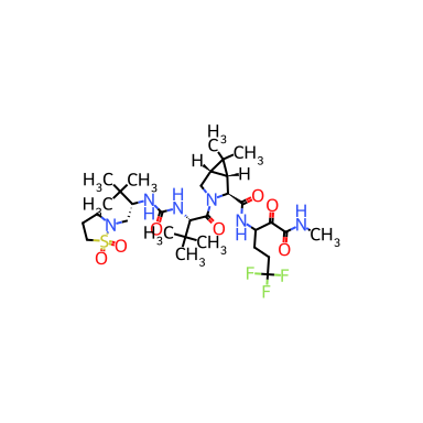 CNC(=O)C(=O)C(CCC(F)(F)F)NC(=O)[C@@H]1[C@@H]2[C@H](CN1C(=O)[C@@H](NC(=O)N[C@H](CN1CCCS1(=O)=O)C(C)(C)C)C(C)(C)C)C2(C)C